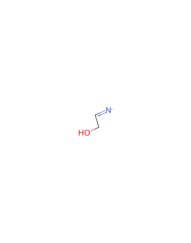 [N]=CCO